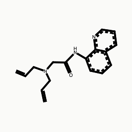 C=CCN(CC=C)CC(=O)Nc1cccc2cccnc12